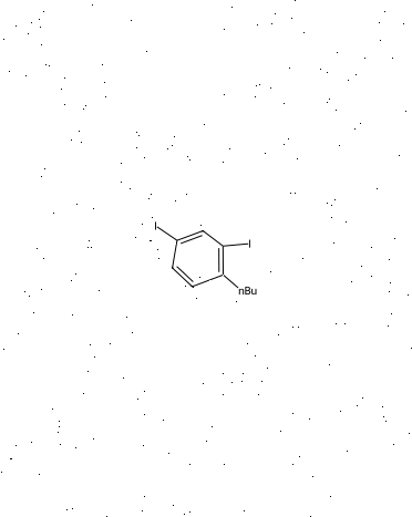 CCCCc1ccc(I)cc1I